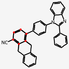 N#Cc1ccc(-c2ccc(-n3c(-c4ccccc4)nc4ccccc43)cc2)c2c1C1c3ccccc3C2c2ccccc21